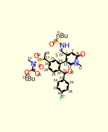 CCCC[S@+]([O-])N[C@@H](C)c1cc(=O)n(C)cc1-c1cc(C(C)S(=O)(=O)N(C)C(=O)OC(C)(C)C)ccc1C(=O)c1ccc(F)cc1